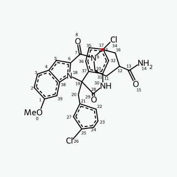 COc1ccc2cc(C(=O)N3CCC(C(N)=O)CC3)n(C3(Cc4cccc(Cl)c4)C(=O)Nc4cc(Cl)ccc43)c2c1